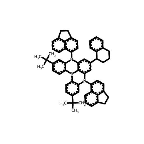 CC(C)(C)c1ccc2c(c1)N(c1ccc3c4c(cccc14)CC3)c1cc(C3CCCc4ccccc43)cc3c1B2c1ccc(C(C)(C)C)cc1N3c1ccc2c3c(cccc13)CC2